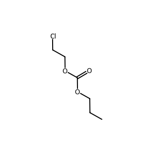 CCCOC(=O)OCCCl